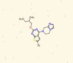 CCc1cc2c(N3CCn4ccnc4C3)nc(OCC(COC(C)=O)OC(C)=O)nc2s1